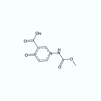 COC(=O)Nn1ccc(=O)c(C(=O)O)c1